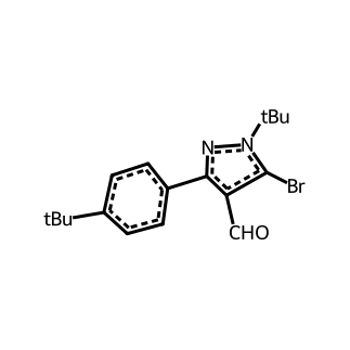 CC(C)(C)c1ccc(-c2nn(C(C)(C)C)c(Br)c2C=O)cc1